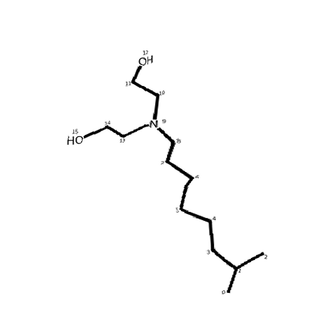 CC(C)CCCCCCN(CCO)CCO